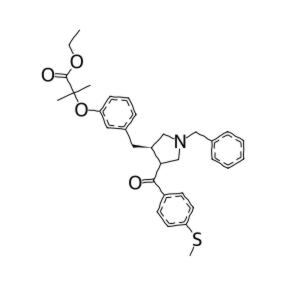 CCOC(=O)C(C)(C)Oc1cccc(C[C@H]2CN(Cc3ccccc3)CC2C(=O)c2ccc(SC)cc2)c1